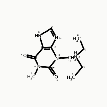 CCNCC.Cn1c(=O)c2[nH]cnc2n(C)c1=O